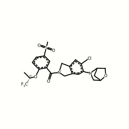 C[C@H](Oc1ccc(S(C)(=O)=O)cc1C(=O)N1Cc2cc(Cl)c(N3CC4CC3CO4)cc2C1)C(F)(F)F